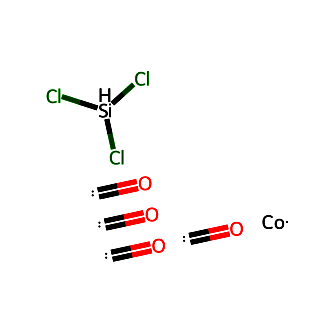 Cl[SiH](Cl)Cl.[C]=O.[C]=O.[C]=O.[C]=O.[Co]